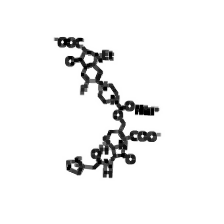 CCn1cc(C(=O)[O-])c(=O)c2cc(F)c(N3CCN(C(=O)OCC4=C(C(=O)[O-])N5C(=O)[C@@H](NC(=O)Cc6cccs6)[C@H]5SC4)CC3)cc21.[Na+].[Na+]